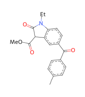 CCN1C(=O)C(C(=O)OC)c2cc(C(=O)c3ccc(C)cc3)ccc21